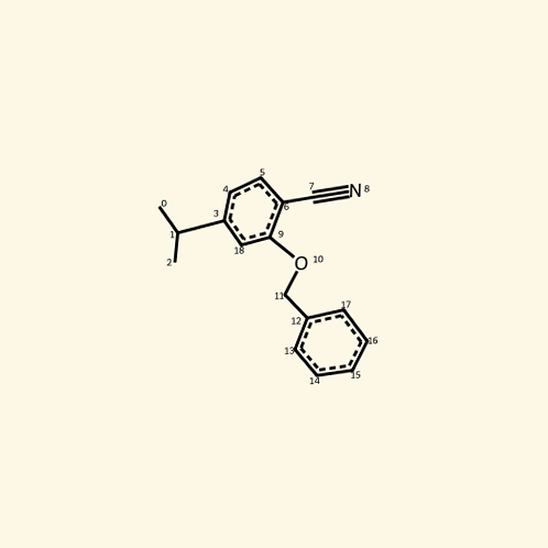 CC(C)c1ccc(C#N)c(OCc2ccccc2)c1